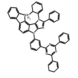 CC1CC=CC=C1n1c(-c2ccccc2)nc2c1c1c3[nH]c4ccccc4c3ccc1n2-c1cccc(-c2nc(C3=CCCC=C3)nc(-c3ccccc3)n2)c1